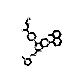 Cc1cccc2cccc(N3CCc4c(nc(OC[C@@H]5CCCN5C)nc4N4CCN(C(=O)/C=C/C#N)CC4)C3)c12